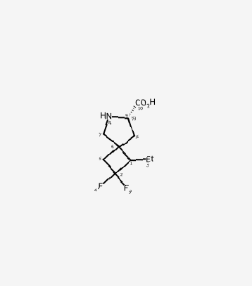 CCC1C(F)(F)CC12CN[C@H](C(=O)O)C2